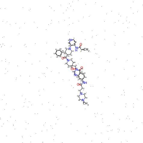 C=CC(=O)Nc1ccncc1N1CCC(C(=O)N2CCC(O)(Cn3cnc4cc(NC(=O)CCN5CCN(C)CC5)ccc4c3=O)CC2)C(c2ccccc2)C1